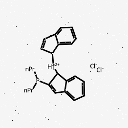 CCCP(CCC)C1=Cc2ccccc2[CH]1[Hf+2][CH]1C=Cc2ccccc21.[Cl-].[Cl-]